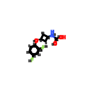 O=C(O)N[C@H]1C[C@H](Oc2ccc(F)cc2F)C1